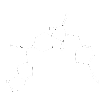 C[C@H](c1ccc2scnc2c1)N1CCC2(CC1)NC(=O)N(Cc1ccc(C#N)cc1)C2=O